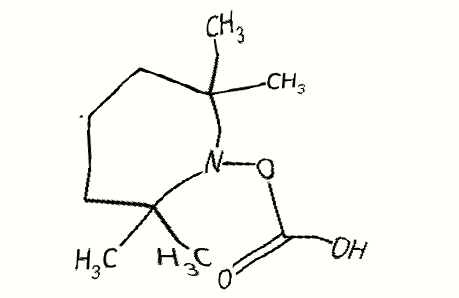 CC1(C)C[CH]CC(C)(C)N1OC(=O)O